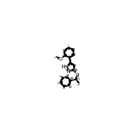 COc1ccccc1-c1cc(OC(C)c2ccccc2)n[nH]1